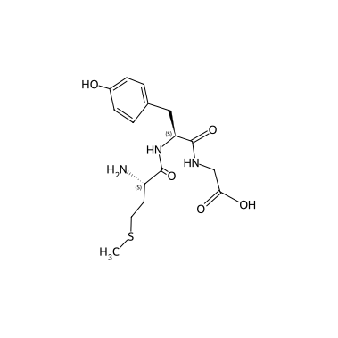 CSCC[C@H](N)C(=O)N[C@@H](Cc1ccc(O)cc1)C(=O)NCC(=O)O